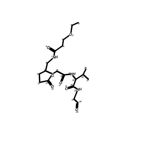 CCOCCC(=O)NCC1CCC(=O)N1CC(=O)NC(C(=O)NCC=O)C(C)C